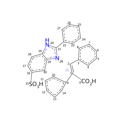 O=C(O)/C(=C\c1ccccc1)c1ccccc1.O=S(=O)(O)c1ccc2[nH]c(-c3ccccc3)nc2c1